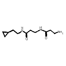 NCCC(=O)NCCC(=O)NCCC1CC1